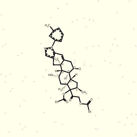 CCC(=O)OCC(=O)C1(OC(=O)CC)[C@H](C)C[C@H]2[C@H]3[C@H]([C@@H](O)C[C@@]21C)[C@@]1(C)Cc2cnn(-c4cccc(C)c4)c2C=C1C[C@H]3Cl